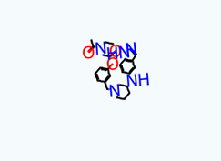 CC(=O)N1CCOC(Oc2cccc(CN3CCCC(Nc4ccc5[nH]ncc5c4)C3)c2)C1